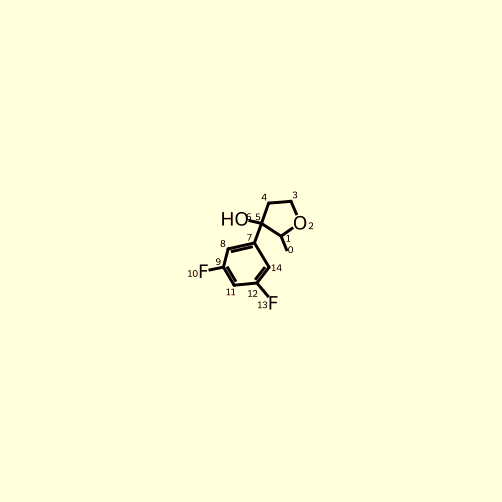 CC1OCCC1(O)c1cc(F)cc(F)c1